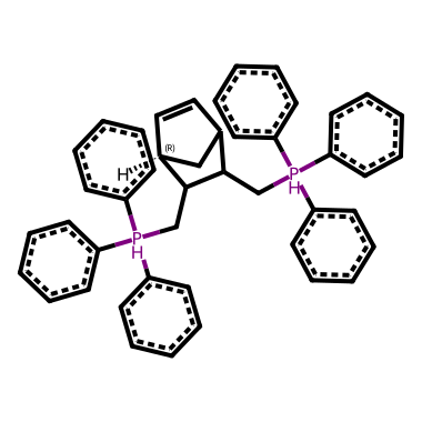 C1=C[C@H]2CC1C(C[PH](c1ccccc1)(c1ccccc1)c1ccccc1)C2C[PH](c1ccccc1)(c1ccccc1)c1ccccc1